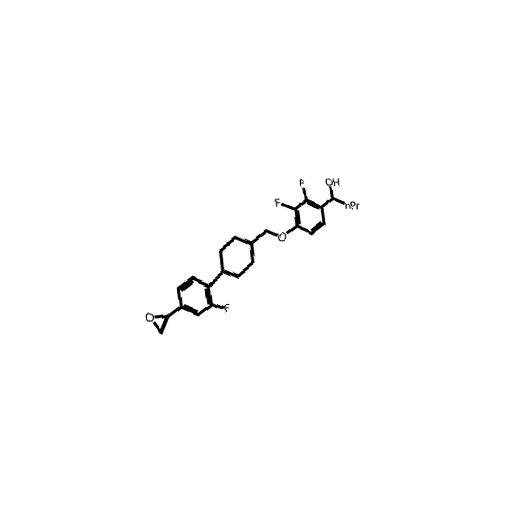 CCCC(O)c1ccc(OCC2CCC(c3ccc(C4CO4)cc3F)CC2)c(F)c1F